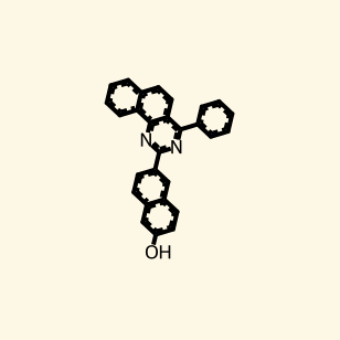 Oc1ccc2cc(-c3nc(-c4ccccc4)c4ccc5ccccc5c4n3)ccc2c1